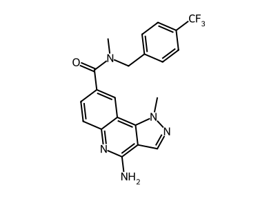 CN(Cc1ccc(C(F)(F)F)cc1)C(=O)c1ccc2nc(N)c3cnn(C)c3c2c1